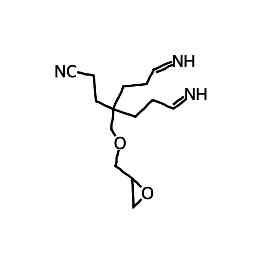 N#CCCC(CCC=N)(CCC=N)COCC1CO1